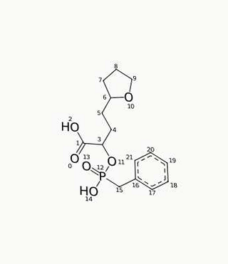 O=C(O)C(CCC1CCCO1)OP(=O)(O)Cc1ccccc1